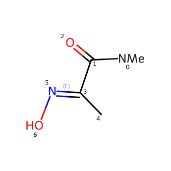 CNC(=O)/C(C)=N/O